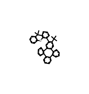 CC(C)(C)c1cc2c(cc1-c1cccc3c1Oc1ccccc1C3(C)C)-c1ccccc1-c1ccccc1-c1ccccc1-2